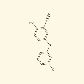 N#Cc1[c]c(Oc2cccc(Cl)c2)ccc1O